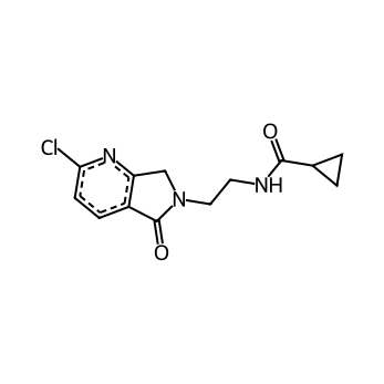 O=C(NCCN1Cc2nc(Cl)ccc2C1=O)C1CC1